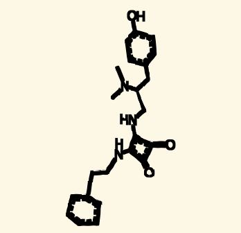 CN(C)[C@H](CNc1c(NCCc2ccccc2)c(=O)c1=O)Cc1ccc(O)cc1